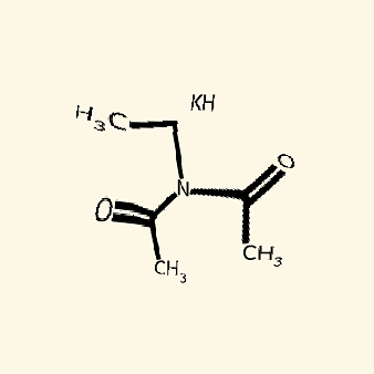 CCN(C(C)=O)C(C)=O.[KH]